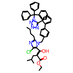 CCCCc1nc(Cl)c(C(O)=C(CC(C)C)C(=O)OCC)n1Cc1ccc(-c2ccccc2-c2nnnn2C(c2ccccc2)(c2ccccc2)c2ccccc2)cc1